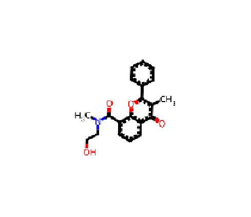 Cc1c(-c2ccccc2)oc2c(C(=O)N(C)CCO)cccc2c1=O